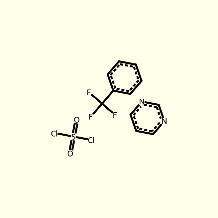 FC(F)(F)c1ccccc1.O=S(=O)(Cl)Cl.c1cncnc1